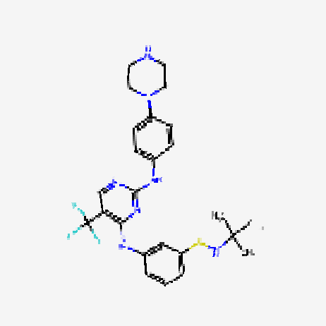 CC(C)(C)NSc1cccc(Nc2nc(Nc3ccc(N4CCNCC4)cc3)ncc2C(F)(F)F)c1